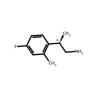 Cc1cc(F)ccc1[C@@H](C)CN